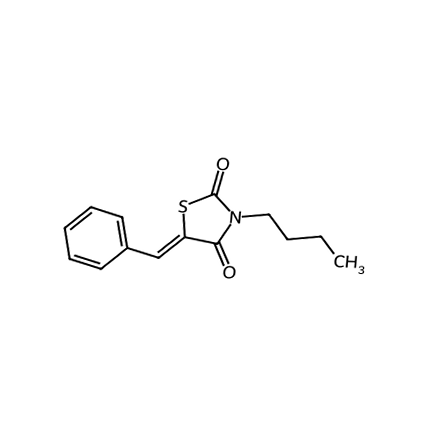 CCCCN1C(=O)S/C(=C\c2ccccc2)C1=O